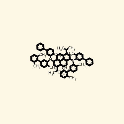 Cc1ccc(-c2ccccc2)cc1N(c1cc(-c2c(C)cccc2C)ccc1C)c1cc(C(C)C)c2ccc3c(N(c4cc(-c5ccccc5)ccc4C)c4cc(-c5c(C)cccc5C)ccc4C)cc(C(C)C)c4ccc1c2c43